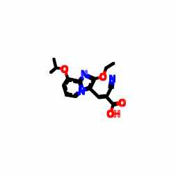 CCOc1nc2c(OC(C)C)cccn2c1/C=C(\C#N)C(=O)O